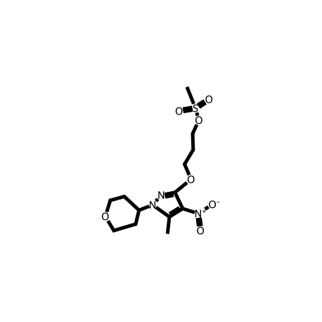 Cc1c([N+](=O)[O-])c(OCCCOS(C)(=O)=O)nn1C1CCOCC1